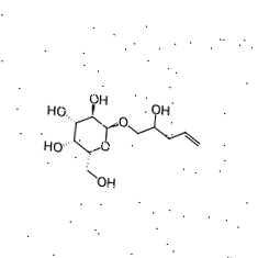 C=CCC(O)CO[C@H]1O[C@H](CO)[C@H](O)[C@H](O)[C@H]1O